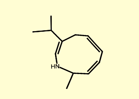 CC1/C=C\C=C/C/C(C(C)C)=C\N1